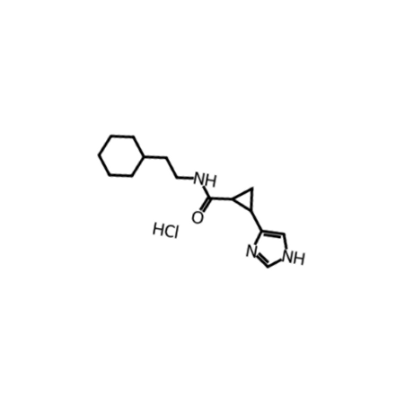 Cl.O=C(NCCC1CCCCC1)C1CC1c1c[nH]cn1